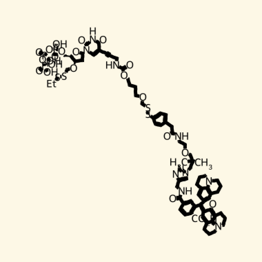 CCSSCO[C@@H]1C[C@H](n2cc(C#CCNC(=O)OCCCCOCSSc3ccc(CC(=O)NCCOCC(C)(C)Cn4cc(CNC(=O)c5ccc(C(=O)O)c(C6=c7cc8c9c(c7Oc7c6cc6c%10c7CCCN%10CCC6)CCC[N+]=9CCC8)c5)nn4)cc3)c(=O)[nH]c2=O)O[C@@H]1COP(=O)(O)OP(=O)(O)OP(=O)(O)O